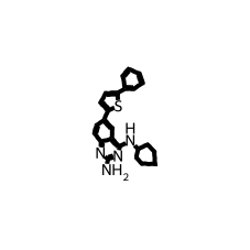 Nc1nc(NC2CCCCC2)c2cc(-c3ccc(-c4ccccc4)s3)ccc2n1